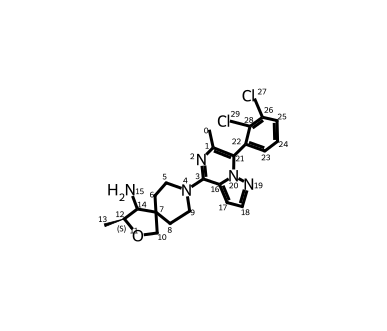 Cc1nc(N2CCC3(CC2)CO[C@@H](C)C3N)c2ccnn2c1-c1cccc(Cl)c1Cl